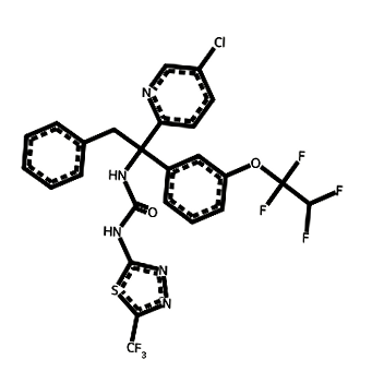 O=C(Nc1nnc(C(F)(F)F)s1)NC(Cc1ccccc1)(c1cccc(OC(F)(F)C(F)F)c1)c1ccc(Cl)cn1